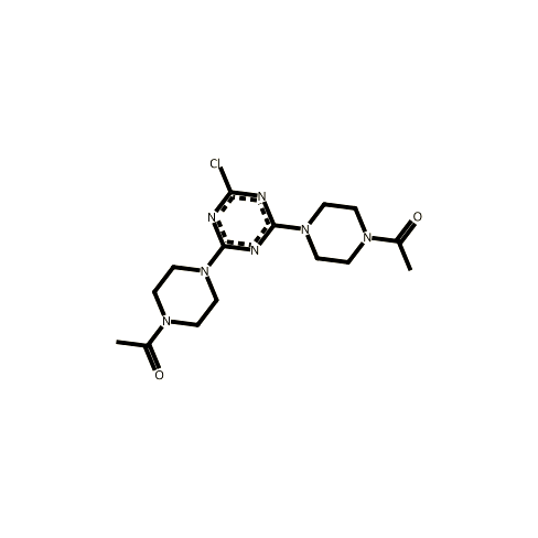 CC(=O)N1CCN(c2nc(Cl)nc(N3CCN(C(C)=O)CC3)n2)CC1